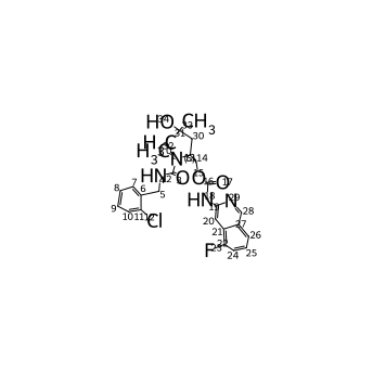 CN(C(=O)NCc1ccccc1Cl)[C@H](COC(=O)Nc1cc2c(F)cccc2cn1)CC(C)(C)O